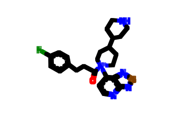 O=C(CCc1ccc(F)cc1)[N+]1(c2ccnc3nsnc23)CCC(C2CCNCC2)CC1